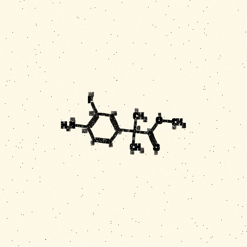 COC(=O)C(C)(C)c1ccc(N)c(F)c1